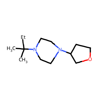 CCC(C)(C)N1CCN(C2CCOC2)CC1